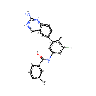 Cc1c(Cl)cc(NC(=O)c2cccc(C(F)(F)F)c2)cc1-c1ccc2nc(N)ncc2c1